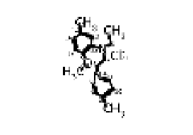 CCN(CC[n+]1ccc(C)cc1)c1cc(C)ccc1OC.[Cl-]